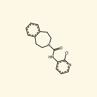 O=C(Nc1cccnc1Cl)N1CCc2ccccc2CC1